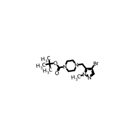 Cn1ncc(Br)c1CN1CCN(C(=O)OC(C)(C)C)CC1